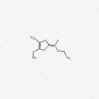 CCO/[P+]([O-])=c1/sc(C)c(SC)s1